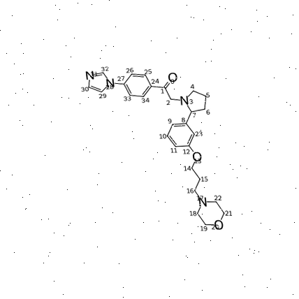 O=C(CN1CCCC1c1cccc(OCCCN2CCOCC2)c1)c1ccc(-n2ccnc2)cc1